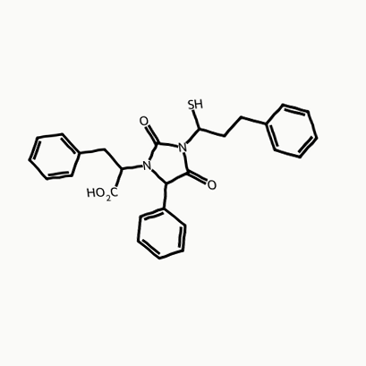 O=C(O)C(Cc1ccccc1)N1C(=O)N(C(S)CCc2ccccc2)C(=O)C1c1ccccc1